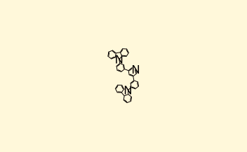 C1=CC2c3ccccc3N(c3cccc(-c4cncc(-c5cccc(-n6c7ccccc7c7ccccc76)c5)c4)c3)C2C=C1